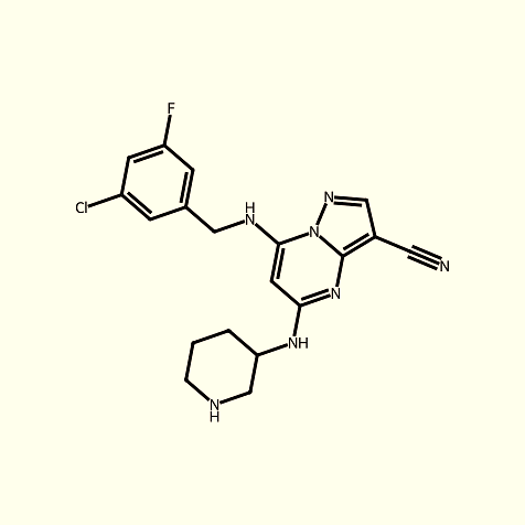 N#Cc1cnn2c(NCc3cc(F)cc(Cl)c3)cc(NC3CCCNC3)nc12